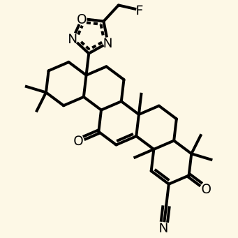 CC1(C)CCC2(c3noc(CF)n3)CCC3C(C(=O)C=C4C5(C)C=C(C#N)C(=O)C(C)(C)C5CCC43C)C2C1